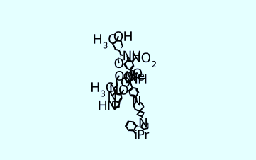 COCCN(C)c1nc2[nH]ccc2cc1Oc1cc(N2CCC3(CC2)CC(N2CCC[C@@H]2c2ccccc2C(C)C)C3)ccc1C(=O)NS(=O)(=O)c1cc2c(c([N+](=O)[O-])c1)N[C@@H]([C@H]1CC[C@](C)(O)CC1)CO2